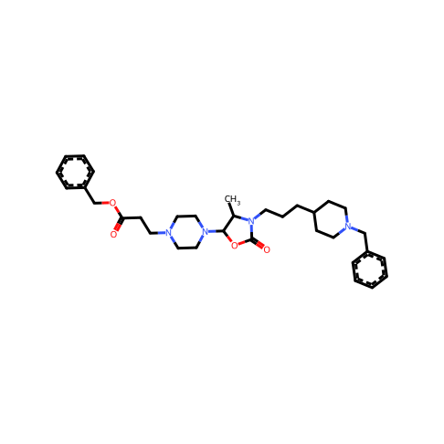 CC1C(N2CCN(CCC(=O)OCc3ccccc3)CC2)OC(=O)N1CCCC1CCN(Cc2ccccc2)CC1